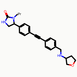 CC(C)N1C(=O)NCC1c1ccc(C#Cc2ccc(CNC3CCOC3)cc2)cc1